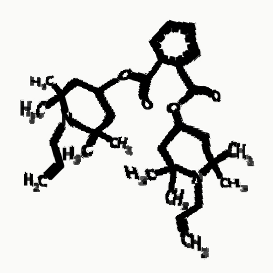 C=CCN1C(C)(C)CC(OC(=O)c2ccccc2C(=O)OC2CC(C)(C)N(CC=C)C(C)(C)C2)CC1(C)C